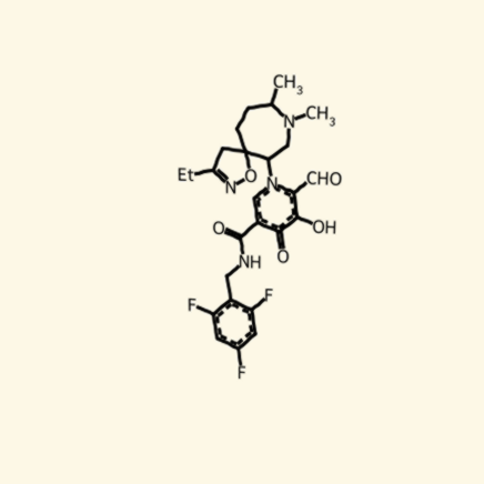 CCC1=NOC2(CCC(C)N(C)CC2n2cc(C(=O)NCc3c(F)cc(F)cc3F)c(=O)c(O)c2C=O)C1